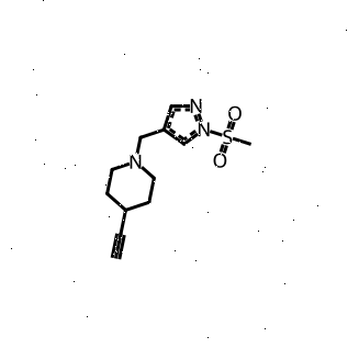 C#CC1CCN(Cc2cnn(S(C)(=O)=O)c2)CC1